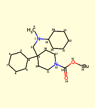 CN(CC1(C2CCCCC2)CCN(C(=O)OC(C)(C)C)CC1)C1CCCCC1